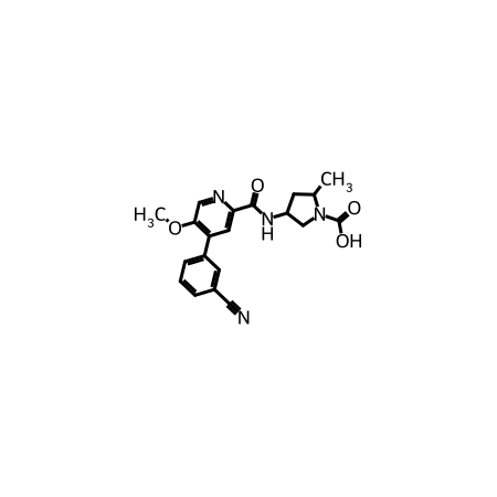 COc1cnc(C(=O)NC2CC(C)N(C(=O)O)C2)cc1-c1cccc(C#N)c1